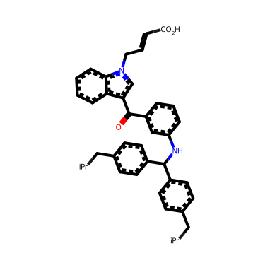 CC(C)Cc1ccc(C(Nc2cccc(C(=O)c3cn(C/C=C/C(=O)O)c4ccccc34)c2)c2ccc(CC(C)C)cc2)cc1